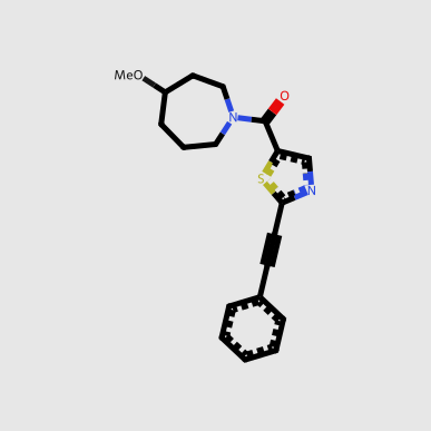 COC1CCCN(C(=O)c2cnc(C#Cc3ccccc3)s2)CC1